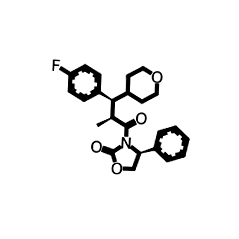 C[C@H](C(=O)N1C(=O)OC[C@@H]1c1ccccc1)[C@@H](c1ccc(F)cc1)C1CCOCC1